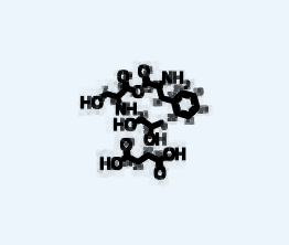 CC(O)CO.N[C@@H](CO)C(=O)OC(=O)[C@@H](N)Cc1ccccc1.O=C(O)CCC(=O)O